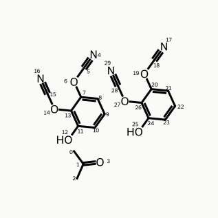 CC(C)=O.N#COc1cccc(O)c1OC#N.N#COc1cccc(O)c1OC#N